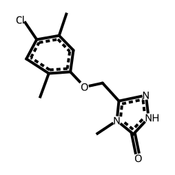 Cc1cc(OCc2n[nH]c(=O)n2C)c(C)cc1Cl